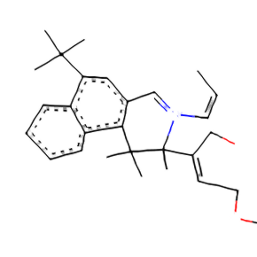 C/C=C\[N+]1=Cc2cc(C(C)(C)C)c3ccccc3c2C(C)(C)C1(C)/C(=C/COC)CO